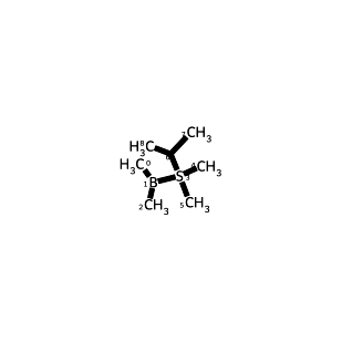 CB(C)S(C)(C)C(C)C